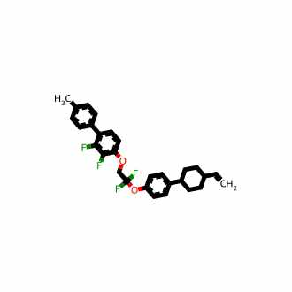 C=CC1CCC(c2ccc(OC(F)(F)COc3ccc(-c4ccc(C)cc4)c(F)c3F)cc2)CC1